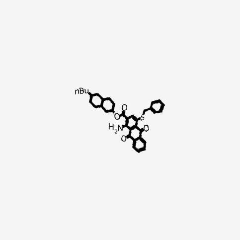 CCCCC1CCC2CC(OC(=O)c3cc(SCc4ccccc4)c4c(c3N)C(=O)c3ccccc3C4=O)CCC2C1